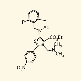 CCOC(=O)c1c(N(Cc2c(F)cccc2F)C(C)=O)sc(-c2ccc([N+](=O)[O-])cc2)c1CN(C)C